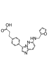 O=C(O)CCc1ccc(-c2cnc3ccc(NCc4ccco4)nn23)cc1